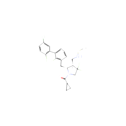 CCSNC[C@@H]1[C@H](Cc2cccc(-c3cc(Cl)ccc3F)c2F)N(C(=O)C2CC2)CC1(F)F